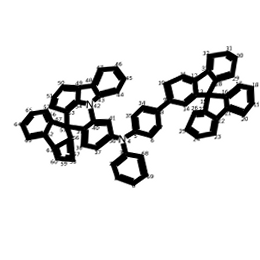 c1ccc(N(c2ccc(-c3ccc4c(c3)C3(c5ccccc5-c5ccccc53)c3ccccc3-4)cc2)c2ccc3c(c2)-n2c4ccccc4c4cccc(c42)C32c3ccccc3-c3ccccc32)cc1